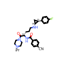 CC(C)N1CCN(C(=O)[C@H](CCCN[C@@H]2C[C@H]2c2ccc(F)cc2)NC(=O)c2ccc(C#N)cc2)CC1